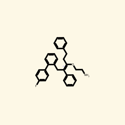 NCCO/C(CCc1ccccc1)=C(/Cc1ccccc1-c1ccc(F)cc1)c1ccccc1